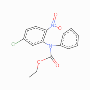 CCOC(=O)N(c1ccccc1)c1cc(Cl)ccc1[N+](=O)[O-]